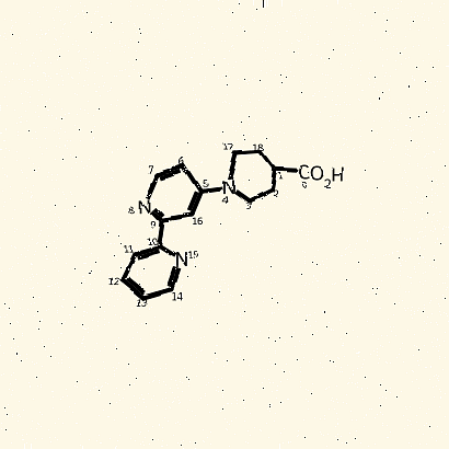 O=C(O)C1CCN(c2ccnc(-c3ccccn3)c2)CC1